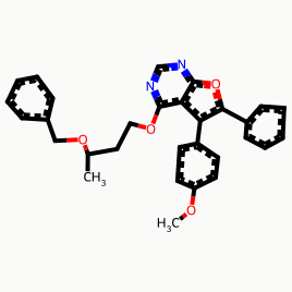 COc1ccc(-c2c(-c3ccccc3)oc3ncnc(OCCC(C)OCc4ccccc4)c23)cc1